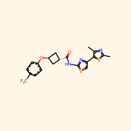 Cc1nc(C)c(-c2csc(NC(=O)[C@H]3C[C@H](Oc4ccc(C(F)(F)F)cc4)C3)n2)s1